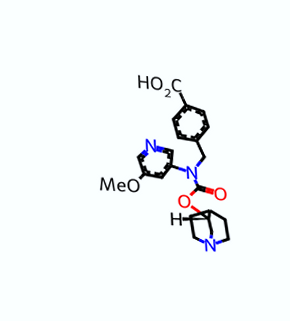 COc1cncc(N(Cc2ccc(C(=O)O)cc2)C(=O)O[C@H]2CN3CCC2CC3)c1